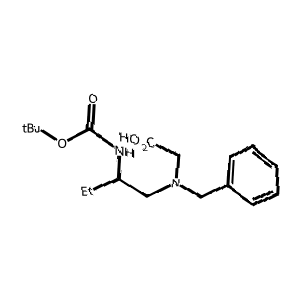 CCC(CN(CC(=O)O)Cc1ccccc1)NC(=O)OC(C)(C)C